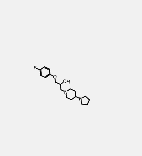 O[C@H](COc1ccc(F)cc1)CN1CCC(N2CCCC2)CC1